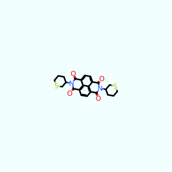 O=C1c2ccc3c4c(ccc(c24)C(=O)N1C1CCCSC1)C(=O)N(C1CCCSC1)C3=O